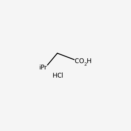 CC(C)CC(=O)O.Cl